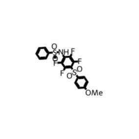 COc1ccc(S(=O)(=O)c2c(F)c(F)c(NS(=O)(=O)c3ccccc3)c(F)c2F)cc1